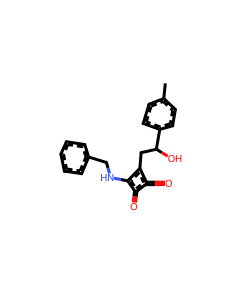 Cc1ccc(C(O)Cc2c(NCc3ccccc3)c(=O)c2=O)cc1